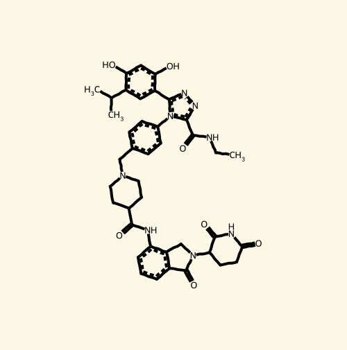 CCNC(=O)c1nnc(-c2cc(C(C)C)c(O)cc2O)n1-c1ccc(CN2CCC(C(=O)Nc3cccc4c3CN(C3CCC(=O)NC3=O)C4=O)CC2)cc1